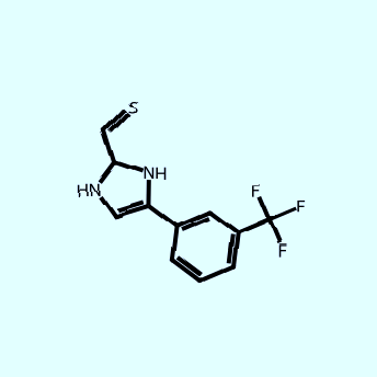 FC(F)(F)c1cccc(C2=CNC(C=S)N2)c1